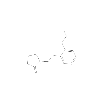 C[C@H]1CCC(=O)[C@@H]1CNc1ccccc1CCO